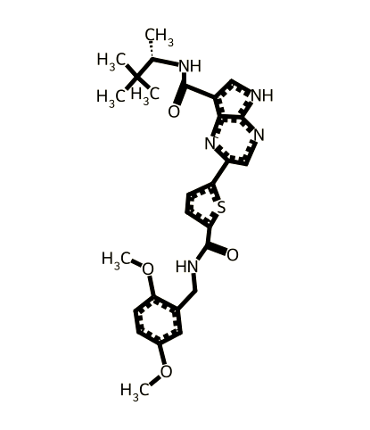 COc1ccc(OC)c(CNC(=O)c2ccc(-c3cnc4[nH]cc(C(=O)N[C@@H](C)C(C)(C)C)c4n3)s2)c1